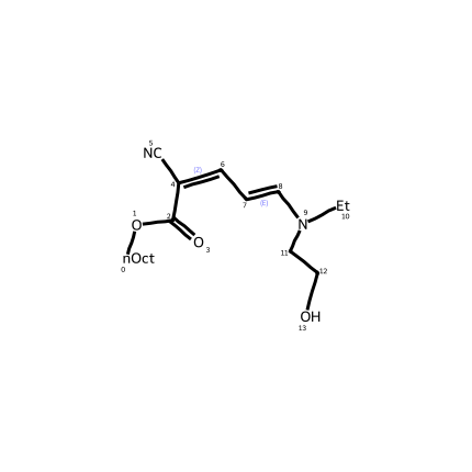 CCCCCCCCOC(=O)/C(C#N)=C\C=C\N(CC)CCO